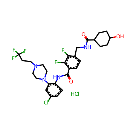 Cl.O=C(Nc1ccc(Cl)cc1N1CCN(CCC(F)(F)F)CC1)c1ccc(CNC(=O)C2CCC(O)CC2)c(F)c1F